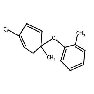 Cc1ccccc1OC1(C)C=CC(Cl)=CC1